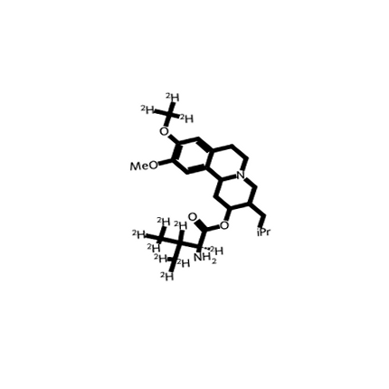 [2H]C([2H])([2H])Oc1cc2c(cc1OC)C1CC(OC(=O)[C@@]([2H])(N)C([2H])(C([2H])([2H])[2H])C([2H])([2H])[2H])C(CC(C)C)CN1CC2